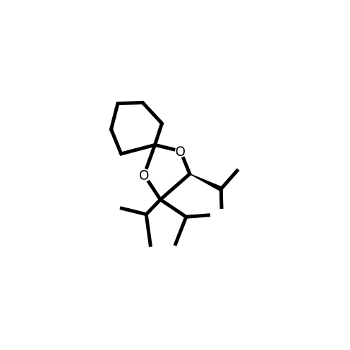 CC(C)[C@@H]1OC2(CCCCC2)OC1(C(C)C)C(C)C